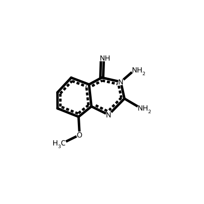 COc1cccc2c(=N)n(N)c(N)nc12